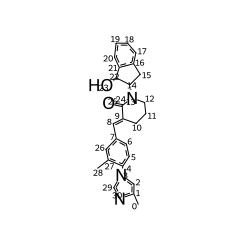 Cc1cn(-c2ccc(/C=C3\CCCN([C@H]4Cc5ccccc5[C@@H]4O)C3=O)cc2C)cn1